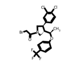 C[C@@H](Oc1ccc(C(F)(F)F)cc1)[C@@H]1CN(C(=O)CBr)C[C@H]1c1ccc(Cl)c(Cl)c1